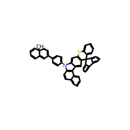 CC12C=CC=CC1=CC(c1ccc(-n3c4cc5c(cc4c4c6ccccc6ccc43)C3(c4ccccc4S5)c4ccccc4-c4ccccc43)cc1)=CC2